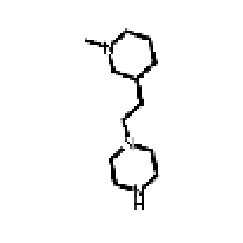 CN1CCCC(CCN2CCNCC2)C1